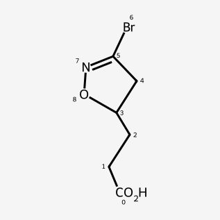 O=C(O)CCC1CC(Br)=NO1